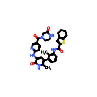 Cc1[nH]c(=O)c(Nc2ccc(C(=O)N3CCNC(=O)C3)cn2)cc1-c1cccc(NC(=O)c2cc3c(s2)CCCC3)c1C